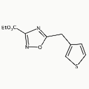 CCOC(=O)c1noc(Cc2ccsc2)n1